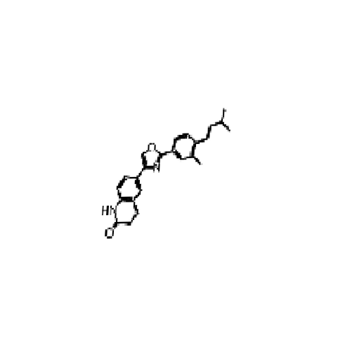 Cc1cc(-c2nc(-c3ccc4c(c3)CCC(=O)N4)co2)ccc1CCC(C)C